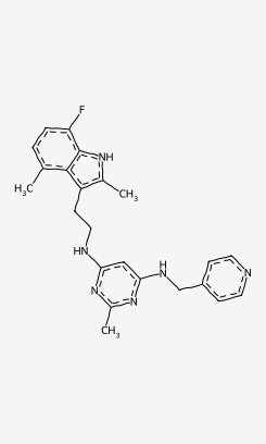 Cc1nc(NCCc2c(C)[nH]c3c(F)ccc(C)c23)cc(NCc2ccncc2)n1